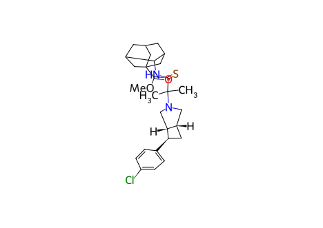 COC(=O)C12CC3CC(C1)C(NC(=S)C(C)(C)N1C[C@@H]4C[C@@H](c5ccc(Cl)cc5)[C@@H]4C1)C(C3)C2